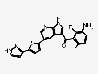 Nc1ccc(F)c(C(=O)c2c[nH]c3ncc(-c4ccc(-c5cc[nH]n5)s4)cc23)c1F